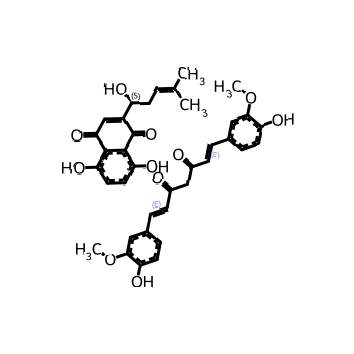 CC(C)=CC[C@H](O)C1=CC(=O)c2c(O)ccc(O)c2C1=O.COc1cc(/C=C/C(=O)CC(=O)/C=C/c2ccc(O)c(OC)c2)ccc1O